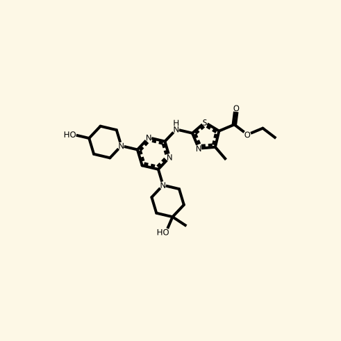 CCOC(=O)c1sc(Nc2nc(N3CCC(O)CC3)cc(N3CCC(C)(O)CC3)n2)nc1C